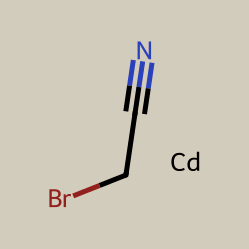 N#CCBr.[Cd]